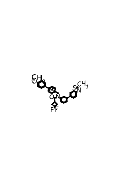 COc1ccc(C23CCC(CN(C(=O)C4CC(F)(F)C4)c4cccc(-c5ccc6nc(C)sc6c5)c4)(CC2)CO3)cc1